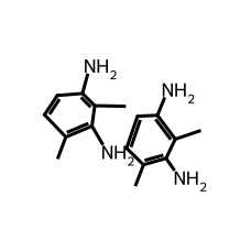 Cc1ccc(N)c(C)c1N.Cc1ccc(N)c(C)c1N